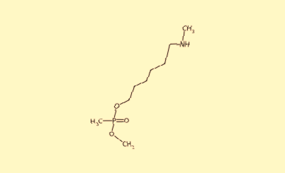 CNCCCCCCOP(C)(=O)OC